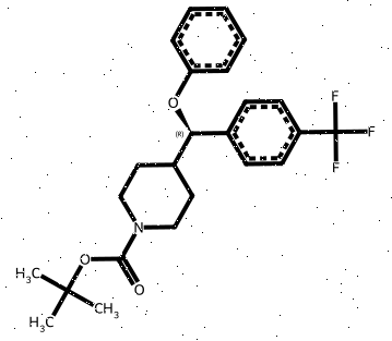 CC(C)(C)OC(=O)N1CCC([C@@H](Oc2ccccc2)c2ccc(C(F)(F)F)cc2)CC1